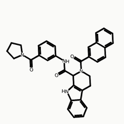 O=C(Nc1cccc(C(=O)N2CCCC2)c1)C1c2[nH]c3ccccc3c2CCN1C(=O)c1ccc2ccccc2c1